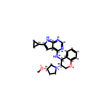 CO[C@H]1CCN([C@H]2COc3ccccc3[C@@H]2Nc2ncnc3[nH]c(C4CC4)cc23)C1